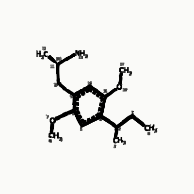 CCC(C)c1cc(OC)c(C[C@@H](C)N)cc1OC